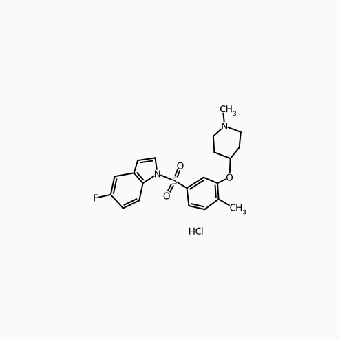 Cc1ccc(S(=O)(=O)n2ccc3cc(F)ccc32)cc1OC1CCN(C)CC1.Cl